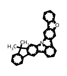 CC1(C)c2ccccc2-c2cc3c4cccc5c6cc7oc8ccccc8c7cc6n(c3cc21)c45